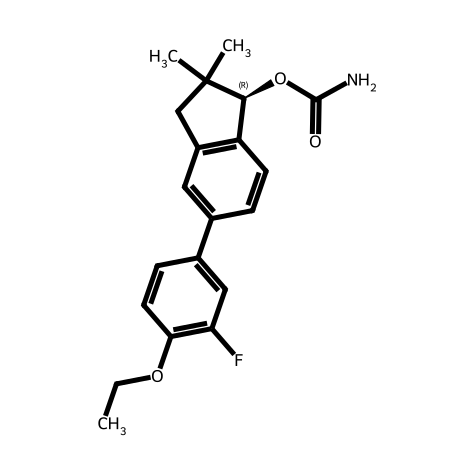 CCOc1ccc(-c2ccc3c(c2)CC(C)(C)[C@H]3OC(N)=O)cc1F